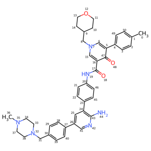 Cc1ccc(-c2cn(CC3CCOCC3)cc(C(=O)Nc3ccc(-c4cc(-c5ccc(CN6CCN(C)CC6)cc5)cnc4N)cc3)c2=O)cc1